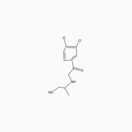 CC(CO)NCC(=O)c1ccc(Cl)c(Cl)c1